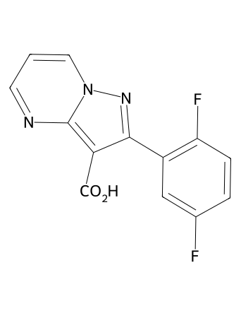 O=C(O)c1c(-c2cc(F)ccc2F)nn2cccnc12